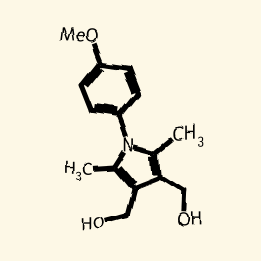 COc1ccc(-n2c(C)c(CO)c(CO)c2C)cc1